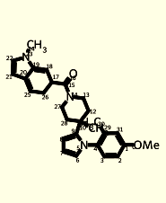 COc1ccc(-n2cccc2C2(C)CCN(C(=O)C3C=c4c(ccn4C)=CC3)CC2)c(C)c1